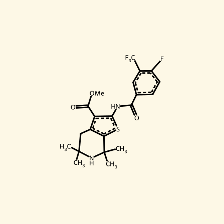 COC(=O)c1c(NC(=O)c2ccc(F)c(C(F)(F)F)c2)sc2c1CC(C)(C)NC2(C)C